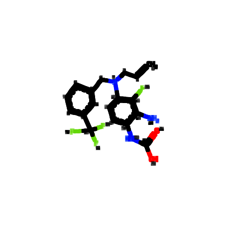 C=CCN(Cc1cccc(C(F)(F)F)c1)c1ccc(NC(=O)O)c(N)c1F